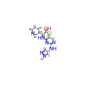 Cn1cc(Nc2ncc(Cl)c(N[C@H](CO)c3cccnc3)n2)cn1